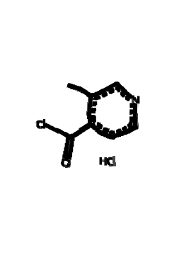 Cc1cnccc1C(=O)Cl.Cl